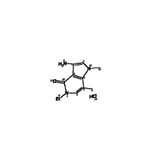 CCn1cc(C)c2c(c(N)cn2C)c1=O.Cl